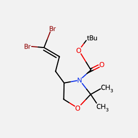 CC(C)(C)OC(=O)N1C(CC=C(Br)Br)COC1(C)C